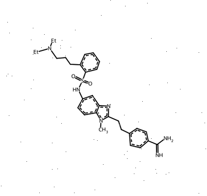 CCN(CC)CCCc1ccccc1S(=O)(=O)Nc1ccc2c(c1)nc(CCc1ccc(C(=N)N)cc1)n2C